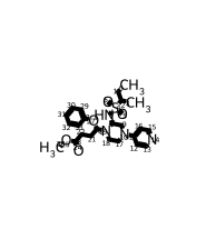 CCC(C)S(=O)(=O)NC1CN(c2ccncc2)CCN1C(CCC(=O)OC)Oc1ccccc1